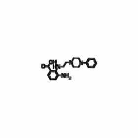 Nc1cccc(C(=O)O)c1NCCN1CCN(c2ccccc2)CC1